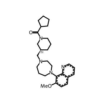 COc1ccc2cccnc2c1N1CCCN(C[C@@H]2CCCN(C(=O)C3CCCC3)C2)CC1